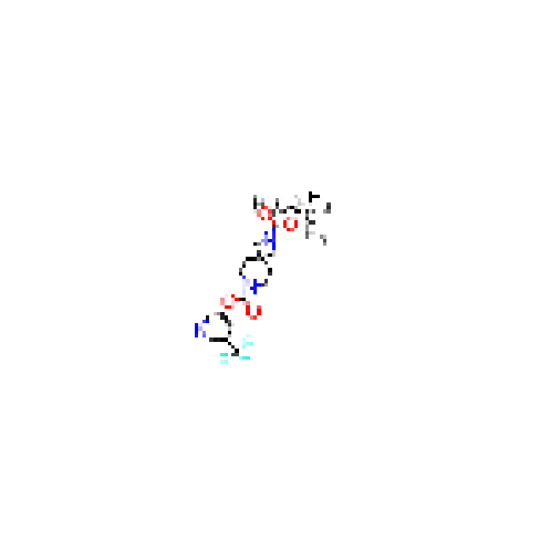 CC(C)(C)OC(=O)N1CC2(CCN(C(=O)Oc3cncc(C(F)(F)F)c3)CC2)C1